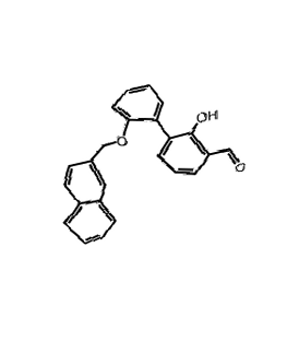 O=Cc1cccc(-c2ccccc2OCc2ccc3ccccc3c2)c1O